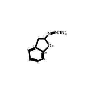 [N-]=[N+]=N[C]1Cc2ccccc2O1